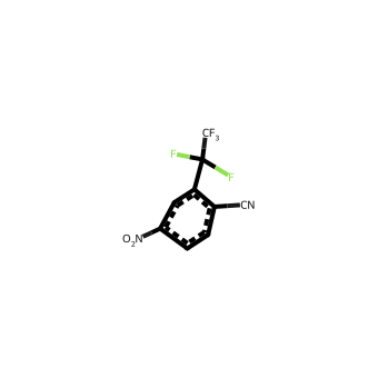 N#Cc1ccc([N+](=O)[O-])cc1C(F)(F)C(F)(F)F